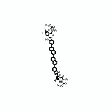 COC(=O)N[C@H](C(=O)N1[C@H](c2nc3ccc(-c4ccc5cc(-c6ccc7cc(-c8ccc9nc([C@@H]%10C[C@H]%11[C@@H](C)[C@H]%11N%10C(=O)[C@@H](NC(=O)OC)C(C)C)[nH]c9c8)ccc7c6)ccc5c4)cc3[nH]2)C2[C@@H]3[C@H]1[C@]23C)C(C)C